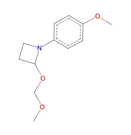 COCOC1CCN1c1ccc(OC)cc1